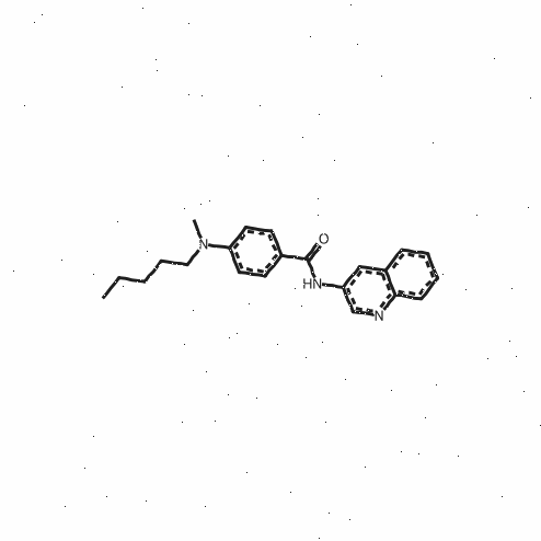 CCCCCN(C)c1ccc(C(=O)Nc2cnc3ccccc3c2)cc1